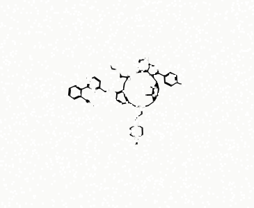 CCOC(=O)[C@H]1Cc2cc(ccc2OCc2ccnc(-c3ccccc3C#N)n2)CN(CCN2CCN(C)CC2)Cc2ccc(c(C)c2Cl)-c2c(-c3ccc(F)cc3)sc3ncnc(c23)O1